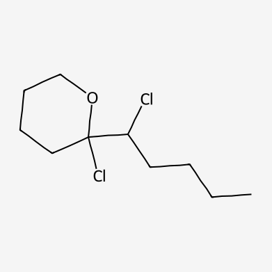 CCCCC(Cl)C1(Cl)CCCCO1